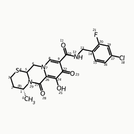 C[C@@H]1CCSC2Cn3cc(C(=O)NCc4ccc(Cl)cc4F)c(=O)c(O)c3C(=O)N21